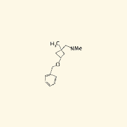 CNCC1(C)CC(OCc2ccccc2)C1